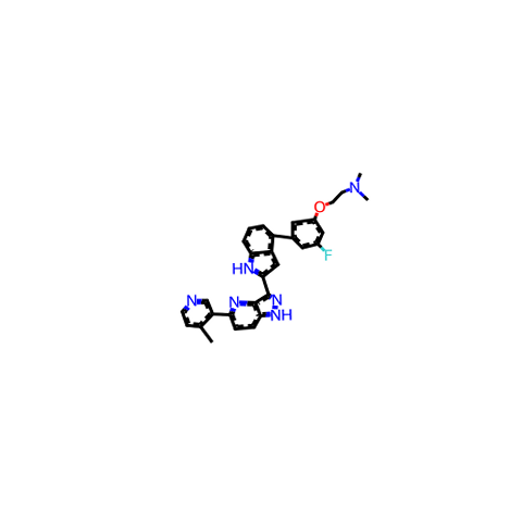 Cc1ccncc1-c1ccc2[nH]nc(-c3cc4c(-c5cc(F)cc(OCCN(C)C)c5)cccc4[nH]3)c2n1